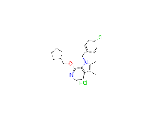 Cc1c(C)n(Cc2ccc(Cl)cc2)c2c(OCC3CCCC3)nccc12.Cl